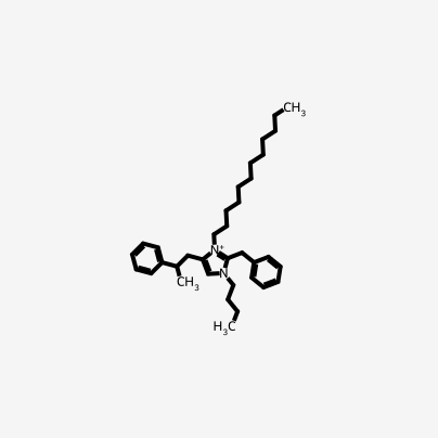 CCCCCCCCCCCC[n+]1c(CC(C)c2ccccc2)cn(CCCC)c1Cc1ccccc1